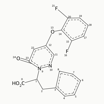 O=C(O)C(Cc1ccccc1)n1ncc(Oc2c(F)cccc2F)cc1=O